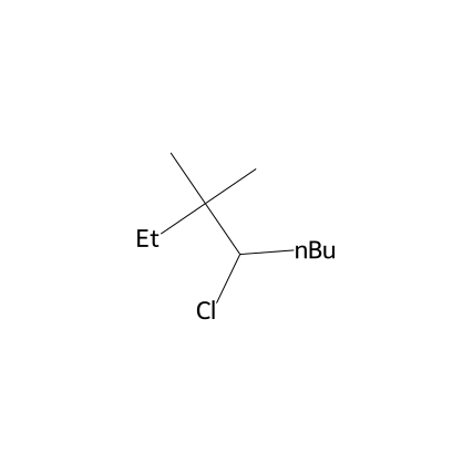 CCCCC(Cl)C(C)(C)CC